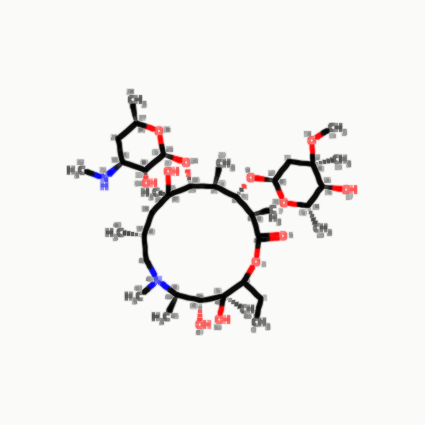 CCC1OC(=O)[C@H](C)[C@@H](O[C@H]2C[C@@](C)(OC)[C@@H](O)[C@H](C)O2)[C@H](C)[C@@H](O[C@@H]2O[C@H](C)C[C@H](NC)[C@H]2O)[C@](C)(O)C[C@@H](C)CN(C)[C@H](C)[C@@H](O)[C@]1(C)O